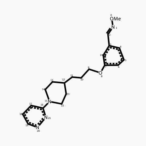 CON=Cc1cccc(OCCCC2CCN(c3cccnn3)CC2)c1